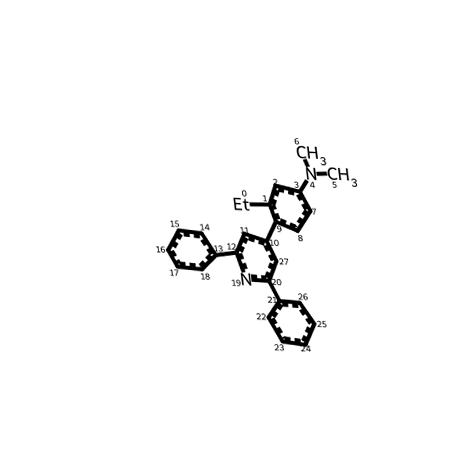 CCc1cc(N(C)C)ccc1-c1cc(-c2ccccc2)nc(-c2ccccc2)c1